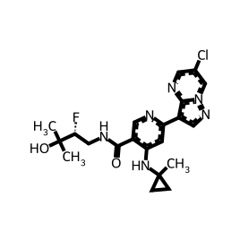 CC1(Nc2cc(-c3cnn4cc(Cl)cnc34)ncc2C(=O)NC[C@@H](F)C(C)(C)O)CC1